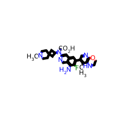 Cc1c(-c2cc3cc(N(C(=O)O)C4CC5(CCN(C)CC5)C4)ncc3c(N)c2F)cnc2c1NCCO2